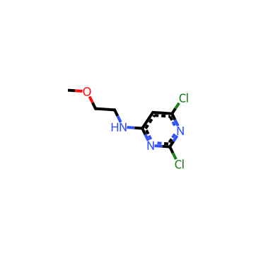 COCCNc1cc(Cl)nc(Cl)n1